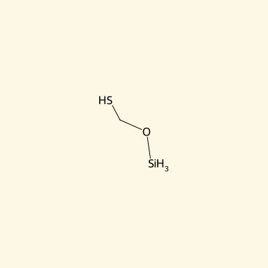 [SiH3]OCS